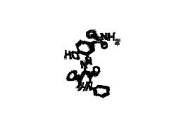 CC(=O)C(/N=N/c1cc(S(N)(=O)=O)ccc1O)C(=O)Nc1ccccc1